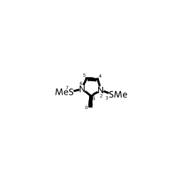 C=C1N(SC)C=CN1SC